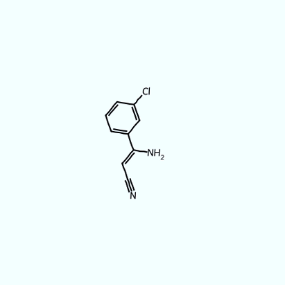 N#C/C=C(\N)c1cccc(Cl)c1